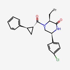 CC(C)C[C@H]1C(=O)N[C@@H](c2ccc(Cl)cc2)CN1C(=O)[C@@H]1C[C@H]1c1ccccc1